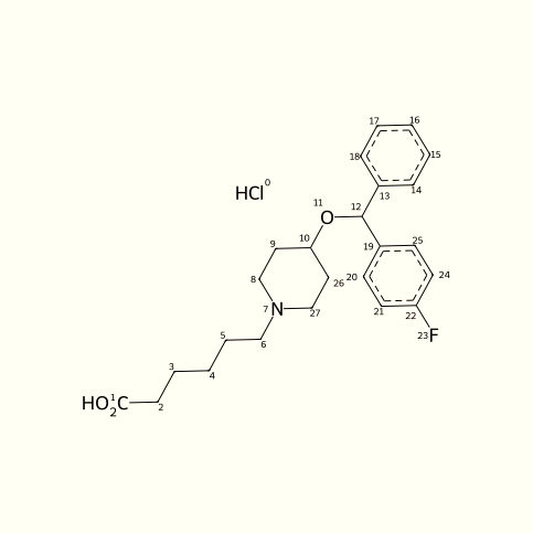 Cl.O=C(O)CCCCCN1CCC(OC(c2ccccc2)c2ccc(F)cc2)CC1